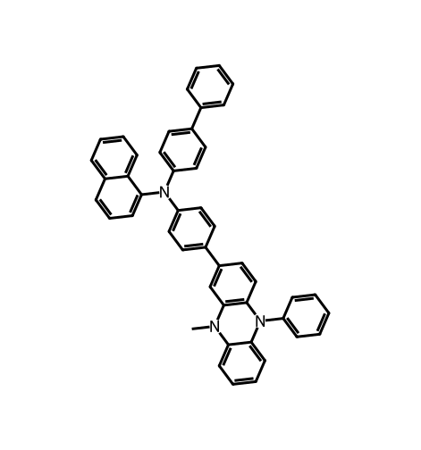 CN1c2ccccc2N(c2ccccc2)c2ccc(-c3ccc(N(c4ccc(-c5ccccc5)cc4)c4cccc5ccccc45)cc3)cc21